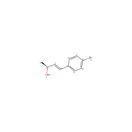 C[C@H](O)C=Cc1ccc(Br)cc1